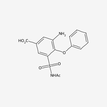 CC(=O)NS(=O)(=O)c1cc(C(=O)O)cc(N)c1Oc1ccccc1